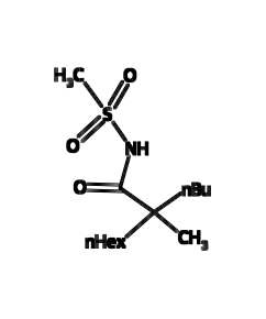 CCCCCCC(C)(CCCC)C(=O)NS(C)(=O)=O